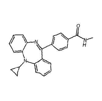 CNC(=O)c1ccc(C2=Nc3ccccc3N(C3CC3)c3ccccc32)cc1